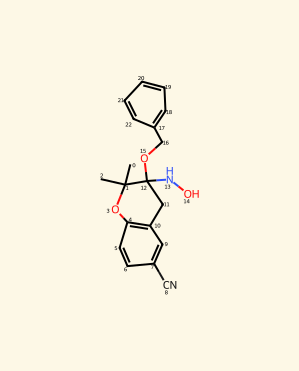 CC1(C)Oc2ccc(C#N)cc2CC1(NO)OCc1ccccc1